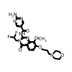 COc1c(OCCCN2CCOCC2)ccc2c(=O)n(CC(F)F)c(NC(=O)c3cnc(N)nc3)nc12